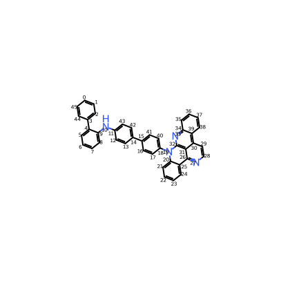 c1ccc(-c2ccccc2Nc2ccc(-c3ccc(N4c5ccccc5-c5nccc6c5c4nc4ccccc46)cc3)cc2)cc1